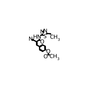 CCc1nnc(NC(=O)C(C#N)=Cc2ccc(OC(C)=O)cc2)s1